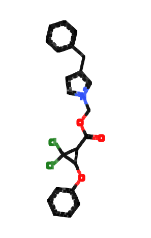 O=C(OCn1ccc(Cc2ccccc2)c1)C1C(Oc2ccccc2)C1(Cl)Cl